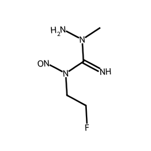 CN(N)C(=N)N(CCF)N=O